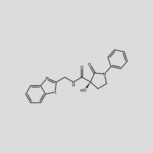 O=C(NCc1nc2ccccc2s1)[C@@]1(O)CCN(c2ccccc2)C1=O